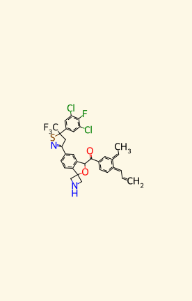 C=CC=c1ccc(C(=O)C2OC3(CNC3)c3ccc(C4=NSC(c5cc(Cl)c(F)c(Cl)c5)(C(F)(F)F)C4)cc32)cc1=CC